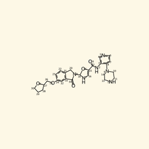 O=C(Nc1cnccc1N1CCNCC1)C1=CNC(N2Cc3ccc(OCC4CCCO4)cc3C2=O)O1